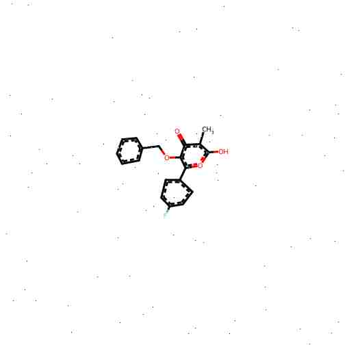 Cc1c(O)oc(-c2ccc(F)cc2)c(OCc2ccccc2)c1=O